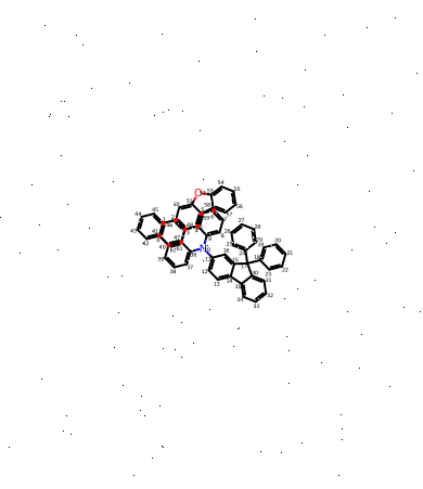 c1ccc(-c2ccccc2N(c2ccc3c(c2)C(c2ccccc2)(c2ccccc2)c2ccccc2-3)c2cccc(-c3ccccc3)c2-c2ccc3oc4ccccc4c3c2)cc1